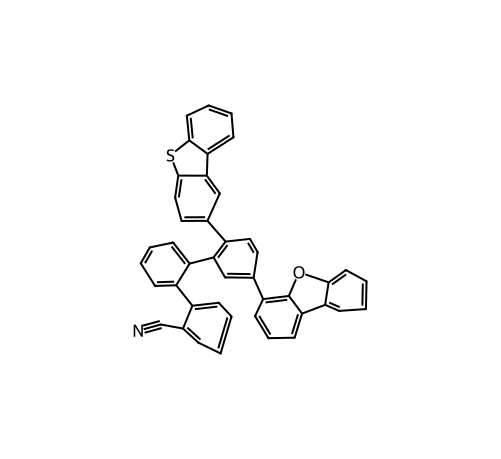 N#Cc1ccccc1-c1ccccc1-c1cc(-c2cccc3c2oc2ccccc23)ccc1-c1ccc2sc3ccccc3c2c1